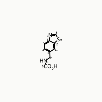 O=C(O)NCc1ccc2ncsc2c1